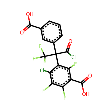 O=C(O)c1cccc(C(C(=O)Cl)(c2c(F)c(C(=O)O)c(F)c(F)c2Cl)C(F)(F)F)c1